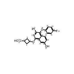 CC(C)c1nc(OC2CC(C(=O)O)C2)c2cc(O)ccc2c1Oc1ccc(F)cc1